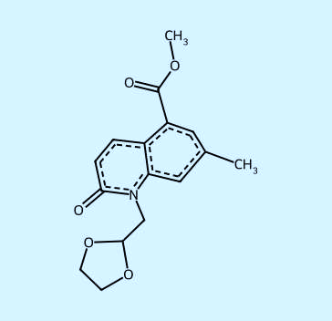 COC(=O)c1cc(C)cc2c1ccc(=O)n2CC1OCCO1